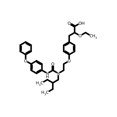 CCOC(Cc1ccc(OCCN(CC(CC)CC)C(=O)Nc2ccc(Oc3ccccc3)cc2)cc1)C(=O)O